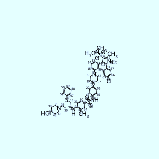 CCn1c(C)c(S(=O)(=O)N(C)C)c(-c2cccc(N3CCN(c4ccc(NS(=O)(=O)c5ccc(N[C@H](CCN6CCC(O)CC6)CSc6ccccc6)c(C)c5)cc4)CC3)c2)c1-c1ccc(Cl)cc1